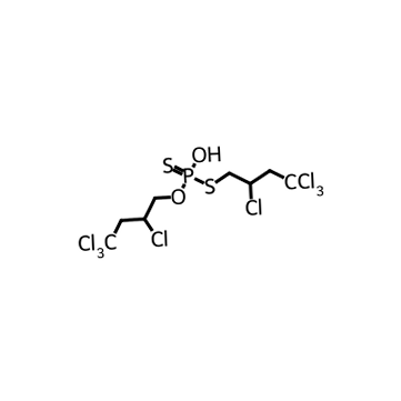 OP(=S)(OCC(Cl)CC(Cl)(Cl)Cl)SCC(Cl)CC(Cl)(Cl)Cl